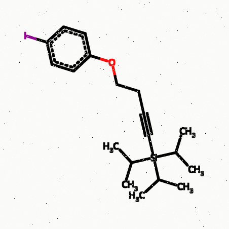 CC(C)[Si](C#CCCOc1ccc(I)cc1)(C(C)C)C(C)C